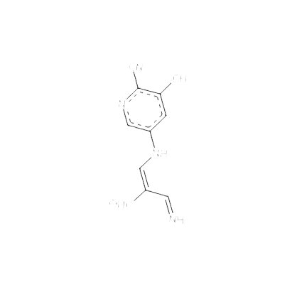 Cc1cc(N/C=C(\C=N)C=O)cnc1C#N